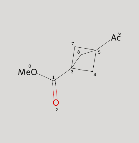 COC(=O)C12CC(C(C)=O)(C1)C2